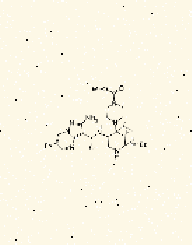 CC[C@H]1CC(C)C2(N3CCN(C(=O)OC)CC3)C(NC(=O)c3c(N)nn4cc(F)cnc34)CNC1C2F